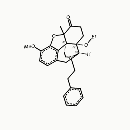 CCO[C@@]12CCC(=O)C3(C)Oc4c(OC)ccc5c4[C@@]31CCN(CCc1ccccc1)[C@@H]2C5